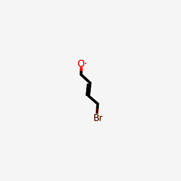 [O]CC=CCBr